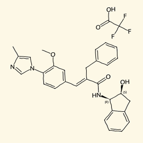 COc1cc(C=C(Cc2ccccc2)C(=O)N[C@@H]2c3ccccc3C[C@@H]2O)ccc1-n1cnc(C)c1.O=C(O)C(F)(F)F